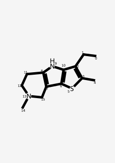 CCc1c(C)sc2c3c([nH]c12)CCN(C)C3